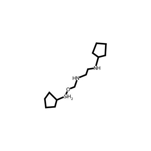 C1CCC(NCCNCO[SiH2]C2CCCC2)C1